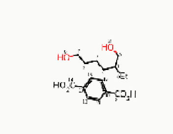 CCC(CO)CCCCO.O=C(O)c1ccc(C(=O)O)cc1